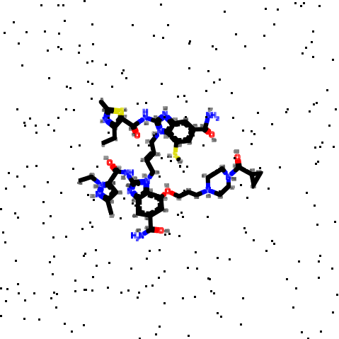 CCc1nc(C)sc1C(=O)Nc1nc2cc(C(N)=O)cc(SC)c2n1C/C=C/Cn1c(NC(=O)c2cc(C)nn2CC)nc2cc(C(N)=O)cc(OCCCN3CCN(C(=O)C4CC4)CC3)c21